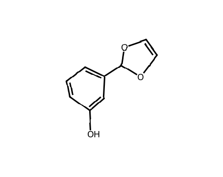 Oc1cccc(C2OC=CO2)c1